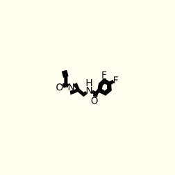 C#CC(=O)N1CC(CNC(=O)c2ccc(F)c(F)c2)C1